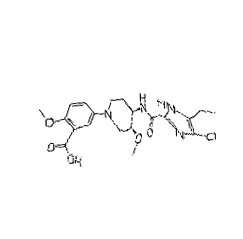 CCc1[nH]c(C(=O)N[C@@H]2CCN(c3ccc(OC)c(C(=O)O)c3)C[C@@H]2OC)nc1Cl